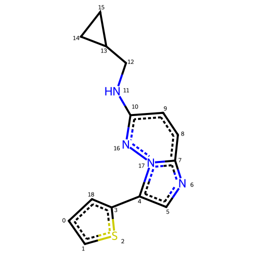 c1csc(-c2cnc3ccc(NCC4CC4)nn23)c1